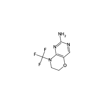 Nc1ncc2c(n1)N(C(F)(F)F)CCO2